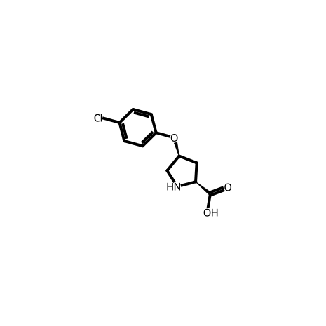 O=C(O)[C@@H]1C[C@H](Oc2ccc(Cl)cc2)CN1